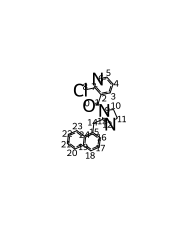 O=C(c1cccnc1Cl)N1CCN=C1Cc1cccc2ccccc12